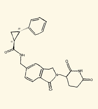 O=C1CCC(N2Cc3cc(CNC(=O)[C@H]4C[C@@H]4c4ccccc4)ccc3C2=O)C(=O)N1